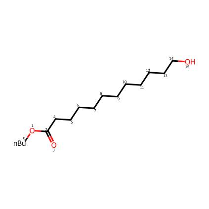 CCCCOC(=O)CCCCCCCCCCCO